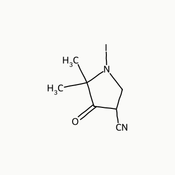 CC1(C)C(=O)C(C#N)CN1I